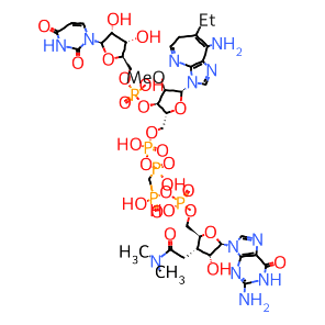 CCC1=C(N)c2ncn([C@@H]3O[C@H](COP(=O)(O)OP(=O)(O)CP(=O)(O)OP(=O)(O)OC[C@H]4O[C@@H](n5cnc6c(=O)[nH]c(N)nc65)[C@H](O)[C@@H]4CC(=O)N(C)C)[C@@H](OP(=O)(O)OC[C@H]4O[C@@H](n5ccc(=O)[nH]c5=O)[C@H](O)[C@@H]4O)[C@H]3OC)c2N=CC1